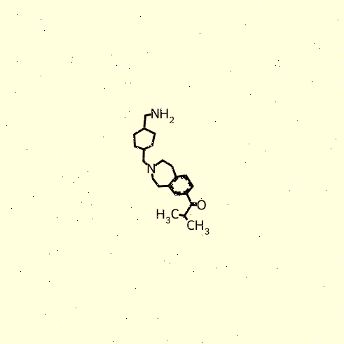 CC(C)C(=O)c1ccc2c(c1)CCN(CC1CCC(CN)CC1)CC2